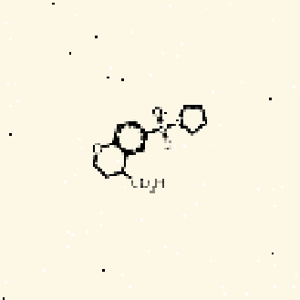 O=C(O)C1CCOc2ccc(S(=O)(=O)N3CCCC3)cc21